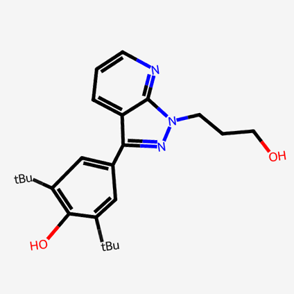 CC(C)(C)c1cc(-c2nn(CCCO)c3ncccc23)cc(C(C)(C)C)c1O